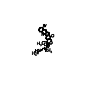 CC[C@@]1(OC(=O)N(C)CCNC)C(=O)OCc2c1cc1n(c2=O)Cc2cc3c(Br)cccc3nc2-1